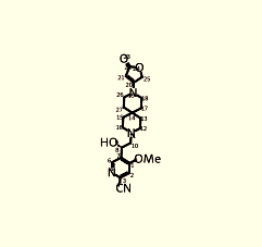 COc1cc(C#N)ncc1[C@@H](O)CN1CCC2(CC1)CCN(C1=CC(=O)OC1)CC2